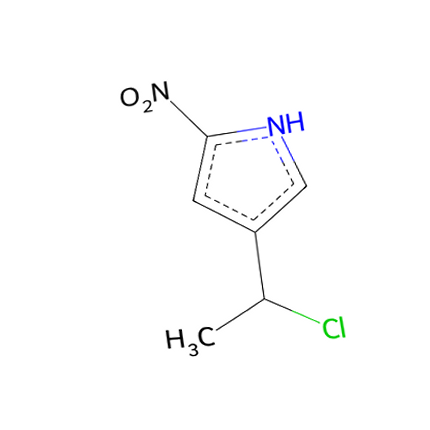 CC(Cl)c1c[nH]c([N+](=O)[O-])c1